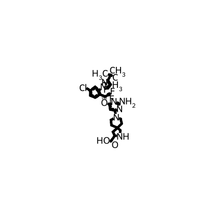 CC(C)(C)c1ccn(-c2cc(Cl)ccc2[C@@H](Oc2cc(N3CCC4(CC3)CNC(C(=O)O)C4)nc(N)n2)C(F)(F)F)n1